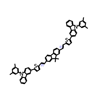 Cc1cc(C)cc(-n2c3ccccc3c3cc(-c4ccc(/C=C/c5ccc6c(c5)C(C)(C)c5cc(/C=C/c7ccc(-c8ccc9c(c8)c8ccccc8n9-c8cc(C)cc(C)c8)s7)ccc5-6)s4)ccc32)c1